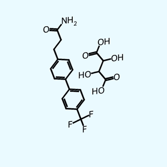 NC(=O)CCc1ccc(-c2ccc(C(F)(F)F)cc2)cc1.O=C(O)C(O)C(O)C(=O)O